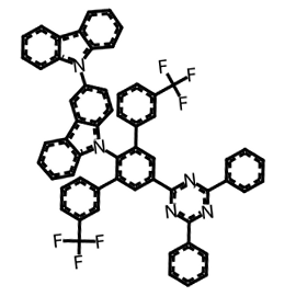 FC(F)(F)c1cccc(-c2cc(-c3nc(-c4ccccc4)nc(-c4ccccc4)n3)cc(-c3cccc(C(F)(F)F)c3)c2-n2c3ccccc3c3cc(-n4c5ccccc5c5ccccc54)ccc32)c1